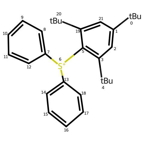 CC(C)(C)c1cc(C(C)(C)C)c([S+](c2ccccc2)c2ccccc2)c(C(C)(C)C)c1